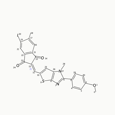 COc1ccc(-c2nc3sc(/C=C4\C(=O)c5cc(C)c(I)cc5C4=O)cc3n2C)cc1